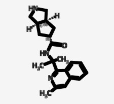 Cc1cc2ccccc2c(C(C)(C)NC(=O)[C@@H]2C[C@H]3CNC[C@H]3C2)n1